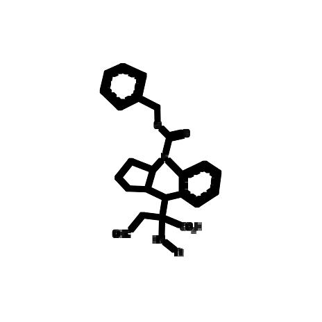 CCNC(CC=O)(C(=O)O)C1c2ccccc2N(C(=O)OCc2ccccc2)C2CCCC21